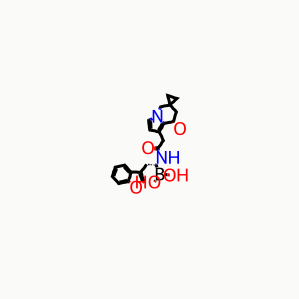 O=C(Cc1ccn2c1C(=O)CC1(CC1)C2)N[C@@H](Cc1coc2ccccc12)B(O)O